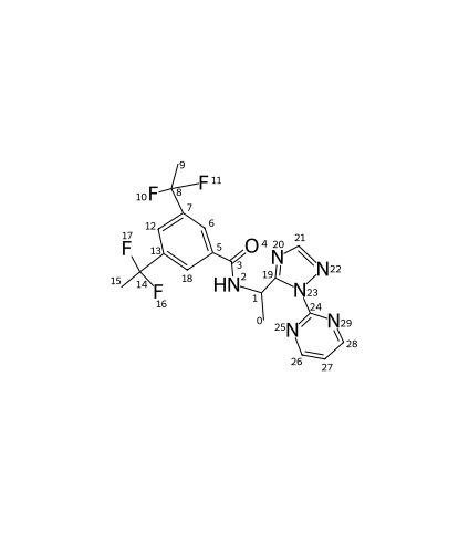 CC(NC(=O)c1cc(C(C)(F)F)cc(C(C)(F)F)c1)c1ncnn1-c1ncccn1